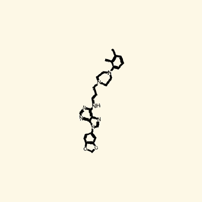 Cc1cccc(N2CCN(CCCNc3ncnc4c3ncn4-c3ccc4c(c3)OCO4)CC2)c1C